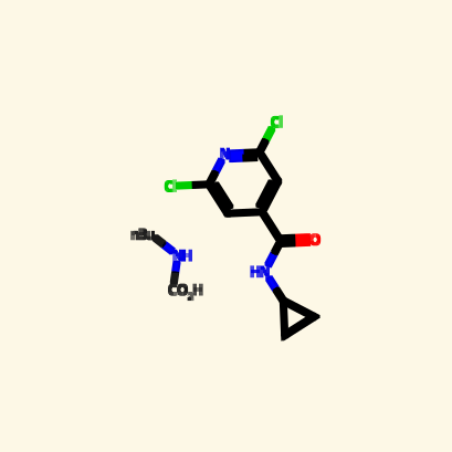 CCCCNC(=O)O.O=C(NC1CC1)c1cc(Cl)nc(Cl)c1